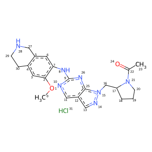 COc1cc2c(cc1Nc1ncc3cnn(CC4CCCN4C(C)=O)c3n1)CNCC2.Cl